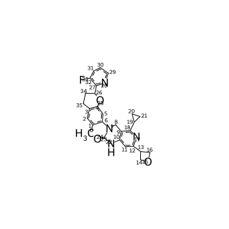 Cc1cc2c(cc1N1Cc3c(cc(C4COC4)nc3C3CC3)NC1=O)OC(c1ncccc1F)CC2